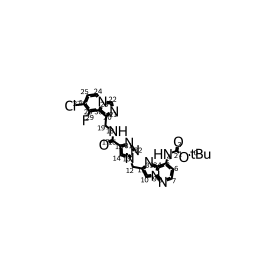 CC(C)(C)OC(=O)Nc1ccnn2cc(Cn3cc(C(=O)NCc4ncn5ccc(Cl)c(F)c45)nn3)nc12